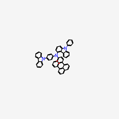 c1ccc(-c2cccc3cccc(-c4ccc(N(c5ccc(-n6c7ccccc7c7ccccc76)cc5)c5cccc6c5c5ccccc5n6-c5ccccc5)cc4)c23)cc1